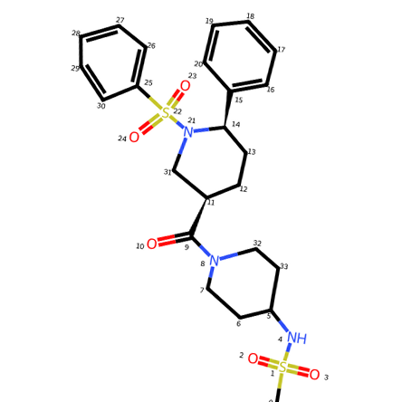 CS(=O)(=O)NC1CCN(C(=O)[C@@H]2CC[C@H](c3ccccc3)N(S(=O)(=O)c3ccccc3)C2)CC1